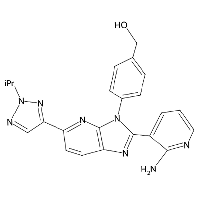 CC(C)n1ncc(-c2ccc3nc(-c4cccnc4N)n(-c4ccc(CO)cc4)c3n2)n1